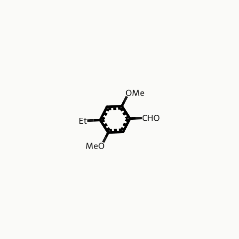 CCc1cc(OC)c(C=O)cc1OC